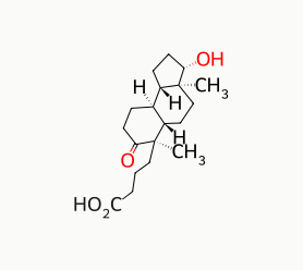 C[C@]12CC[C@H]3[C@@H](CCC(=O)[C@]3(C)CCCC(=O)O)[C@@H]1CC[C@@H]2O